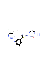 COc1nc(Nc2cc(C)cc(-c3cnc(N4CCCNC(=O)C4)s3)c2)ncc1Cl